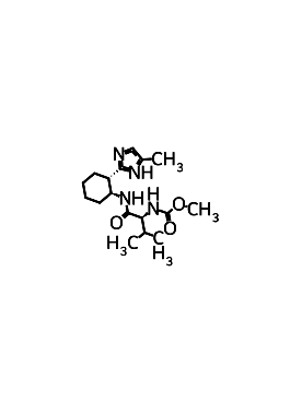 COC(=O)N[C@H](C(=O)N[C@H]1CCCC[C@@H]1c1ncc(C)[nH]1)C(C)C